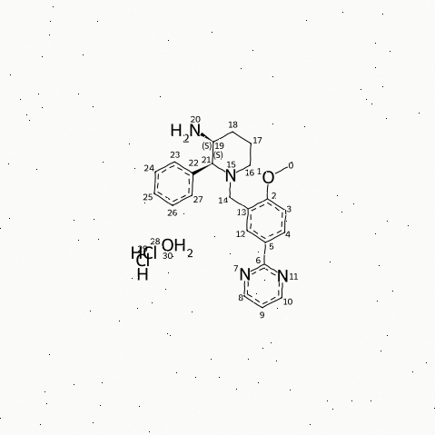 COc1ccc(-c2ncccn2)cc1CN1CCC[C@H](N)[C@@H]1c1ccccc1.Cl.Cl.O